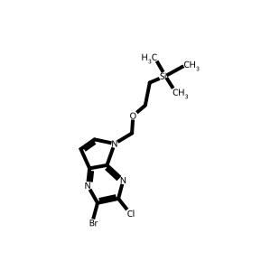 C[Si](C)(C)CCOCn1ccc2nc(Br)c(Cl)nc21